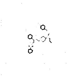 C=CCN(C(=O)OCc1ccc([N+](=O)[O-])cc1)C1CCN(CC[C@@H](CN(C)S(=O)(=O)c2ccccc2)c2ccccc2)CC1.Cl